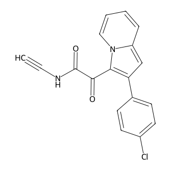 C#CNC(=O)C(=O)c1c(-c2ccc(Cl)cc2)cc2ccccn12